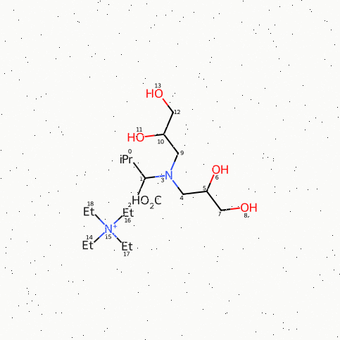 CC(C)C(C(=O)O)N(CC(O)CO)CC(O)CO.CC[N+](CC)(CC)CC